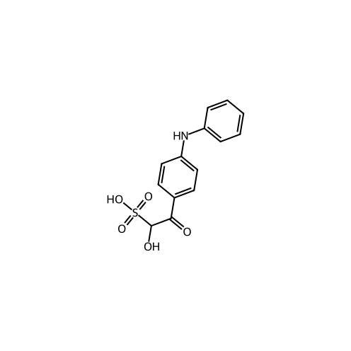 O=C(c1ccc(Nc2ccccc2)cc1)C(O)S(=O)(=O)O